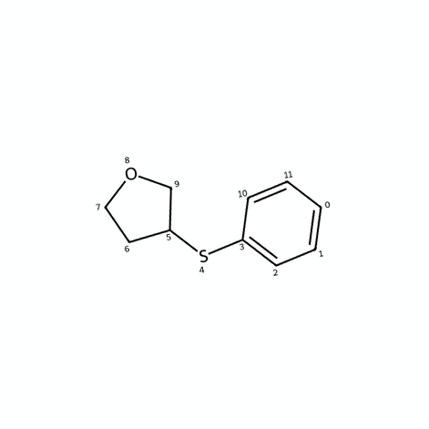 c1ccc(SC2CCOC2)cc1